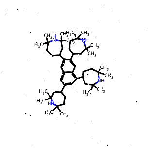 CC1(C)CCC(c2cc(C3CCC(C)(C)NC(C)(C)C3)c3cc(C4CCC(C)(C)NC(C)(C)C4)c(C4CCC(C)(C)NC(C)(C)C4)cc3c2)CC(C)(C)N1